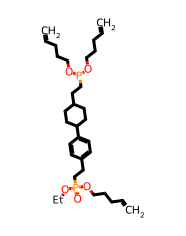 C=CCCCOP(CCC1CCC(c2ccc(CCP(=O)(OCC)OCCCC=C)cc2)CC1)OCCCC=C